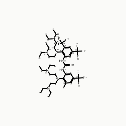 CCN(CC)CCN(CCN(CC)CC)c1c(C)cc(C(F)(F)F)cc1NC(=O)Nc1cc(C(F)(F)F)cc(C(F)(F)F)c1N(CCN(CC)CC)CCN(CC)CC